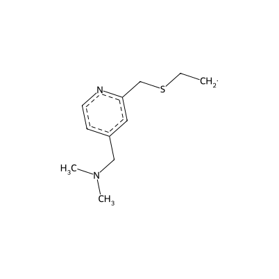 [CH2]CSCc1cc(CN(C)C)ccn1